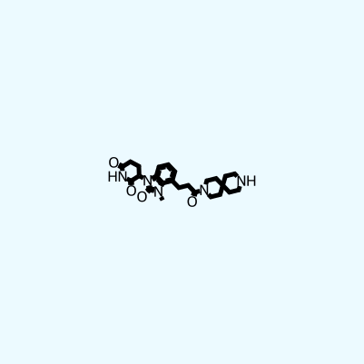 Cn1c(=O)n(C2CCC(=O)NC2=O)c2cccc(CCC(=O)N3CCC4(CCNCC4)CC3)c21